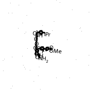 COC(=O)c1ccc(-c2ccc(Oc3cc4c(cc3OCCOCCOCCNC(=O)[C@@H](C)c3ccc(CC(C)C)cc3)CCN[C@]4(C)CC(N)=O)cc2F)cc1